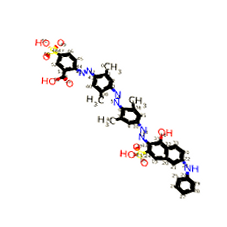 Cc1cc(N=Nc2c(C)cc(N=Nc3c(S(=O)(=O)O)cc4cc(Nc5ccccc5)ccc4c3O)cc2C)c(C)cc1N=Nc1ccc(S(=O)(=O)O)cc1C(=O)O